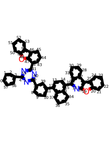 c1ccc(-c2nc(-c3cccc(-c4ccc(-c5nc6oc7ccccc7c6c6ccccc56)c5ccccc45)c3)nc(-c3cccc4c3oc3ccccc34)n2)cc1